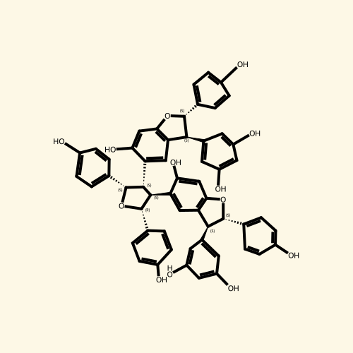 Oc1ccc([C@H]2Oc3cc(O)c([C@@H]4[C@@H](c5cc6c(cc5O)O[C@H](c5ccc(O)cc5)[C@H]6c5cc(O)cc(O)c5)[C@H](c5ccc(O)cc5)O[C@@H]4c4ccc(O)cc4)cc3[C@@H]2c2cc(O)cc(O)c2)cc1